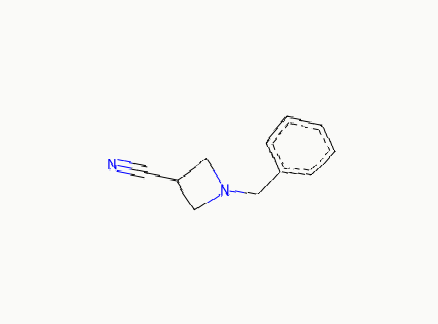 N#CC1CN(Cc2ccccc2)C1